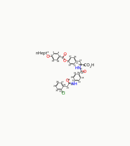 CCCCCCCOc1ccc(C(=O)Oc2ccc(C[C@H](NC(=O)c3ccc(NC(=O)Cc4ccccc4Cl)cc3)C(=O)O)cc2)cc1